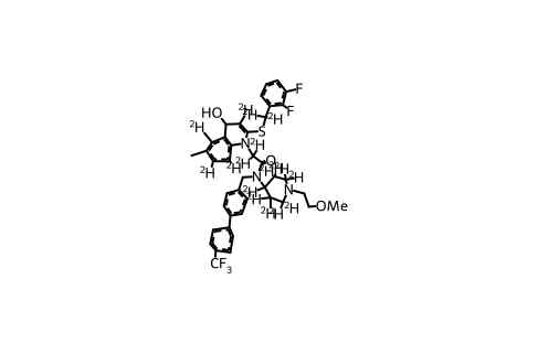 [2H]C1=C(SC([2H])([2H])c2cccc(F)c2F)N(C([2H])([2H])C(=O)N(Cc2ccc(-c3ccc(C(F)(F)F)cc3)cc2)C2([2H])C([2H])([2H])C([2H])([2H])N(CCOC)C([2H])([2H])C2([2H])[2H])c2c([2H])c([2H])c(C)c([2H])c2C1O